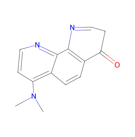 CN(C)c1ccnc2c3c(ccc12)C(=O)CC=N3